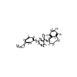 COc1cccc(-c2cncc(C(=O)N3CCCc4ccccc43)n2)c1